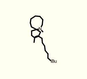 CCC(C)CCCCCCC1=C(C)CCC2(CCCCCCCN2C)C1